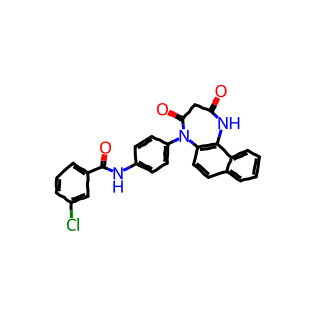 O=C1CC(=O)N(c2ccc(NC(=O)c3cccc(Cl)c3)cc2)c2ccc3ccccc3c2N1